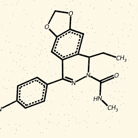 CCC1c2cc3c(cc2C(c2ccc(N)cc2)=NN1C(=O)NC)OCO3